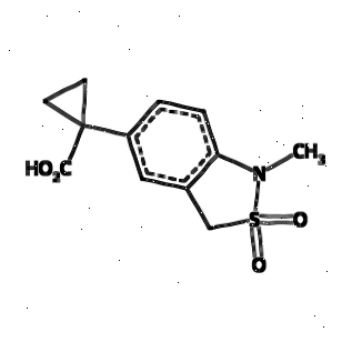 CN1c2ccc(C3(C(=O)O)CC3)cc2CS1(=O)=O